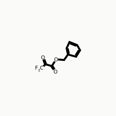 O=C(OCc1ccccc1)C(=O)C(F)(F)F